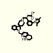 COC(=O)C[C@H](CN1CCC2(CC1)CN(Cc1ccc3c(n1)NCCC3)c1ccccc12)c1cccc(-n2nc(C)cc2C)c1